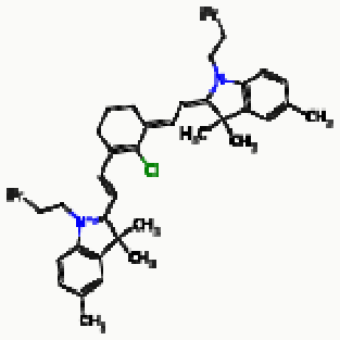 Cc1ccc2c(c1)C(C)(C)C(/C=C/C1=C(Cl)C(=C/C=C3/N(CCC(C)C)c4ccc(C)cc4C3(C)C)/CCC1)=[N+]2CCC(C)C